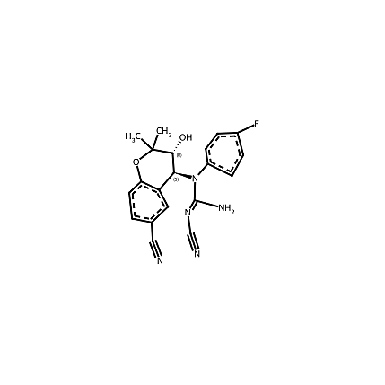 CC1(C)Oc2ccc(C#N)cc2[C@H](N(C(N)=NC#N)c2ccc(F)cc2)[C@H]1O